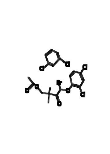 CC(=O)OCC(C)(C)C(=O)C(Br)Oc1ccc(Cl)cc1Cl.Clc1cccc(Cl)c1